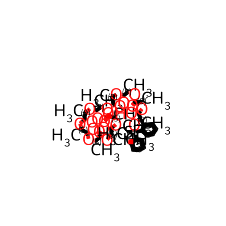 C[C@H](OC(=O)[C@H](C)OC(=O)[C@H](C)OC(=O)[C@H](C)OC(=O)[C@H](C)OC(=O)[C@H](C)OC(=O)[C@H](C)OC(=O)[C@H](C)OC(=O)[C@H](C)OC(=O)[C@H](C)O[Si](c1ccccc1)(c1ccccc1)C(C)(C)C)C(=O)O